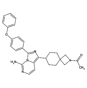 CC(=O)N1CC2(CCC(c3nc(-c4ccc(Oc5ccccc5)cc4)n4c(N)nccc34)CC2)C1